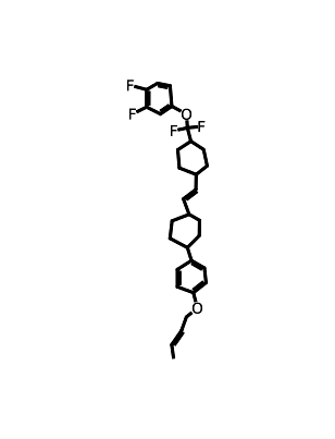 C/C=C/COc1ccc(C2CCC(/C=C/C3CCC(C(F)(F)Oc4ccc(F)c(F)c4)CC3)CC2)cc1